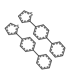 c1ccc(-c2ccc(-c3cccs3)cc2)cc1.c1ccc(-c2ccc(-c3cccs3)cc2)cc1